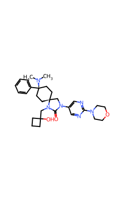 CN(C)[C@]1(c2ccccc2)CC[C@@]2(CC1)CN(c1cnc(N3CCOCC3)nc1)C(=O)N2CC1(O)CCC1